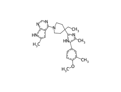 CCC1(c2nc(C)c(-c3ccc(OC)c(C)c3)[nH]2)CCN(c2ncnc3[nH]c(C)cc23)CC1